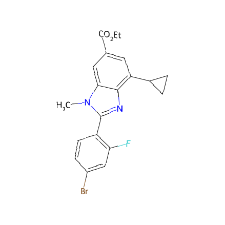 CCOC(=O)c1cc(C2CC2)c2nc(-c3ccc(Br)cc3F)n(C)c2c1